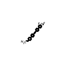 CCCC1CCC(c2ccc(C#Cc3ccc(-c4ccc(OCF)c(F)c4)cc3)cc2)CC1